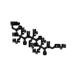 CCOC(=O)CNC(=O)C(C)(C)NC(=O)C(C)(C)NC(=O)C(C)(C)NC(=O)CNC